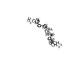 Cc1nccc(-c2cccc(-c3csc(NC(=O)CNC(=O)c4cccc(S(=O)(=O)C(C)C)c4)n3)c2)n1